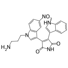 NCCCn1cc(C2=C(c3c[nH]c4ccccc34)C(=O)NC2=O)c2cc([N+](=O)[O-])ccc21